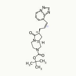 CC(C)(C)OC(=O)N1CCN2C(=O)[C@@H](C/C=C\c3cccn4ncnc34)C[C@H]2C1